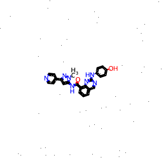 Cn1nc(-c2ccncc2)cc1NC(=O)c1cccc2cnc(N[C@H]3CC[C@H](O)CC3)nc12